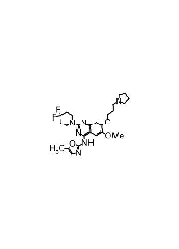 COc1cc2c(Nc3ncc(C)o3)nc(N3CCC(F)(F)CC3)nc2cc1OCCCN1CCCC1